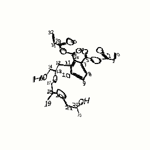 C=CC(=O)OC(=O)c1cccc(CC(CO)OCC(C)OCC(C)O)c1C(=O)OC(=O)C=C